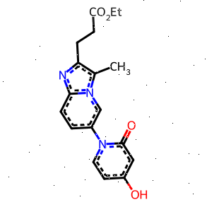 CCOC(=O)CCc1nc2ccc(-n3ccc(O)cc3=O)cn2c1C